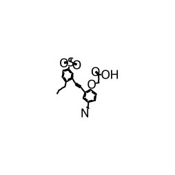 CCCc1ccc(S(C)(=O)=O)cc1C#Cc1cc(C#N)ccc1OCC(=O)O